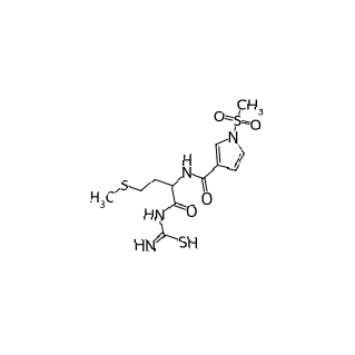 CSCCC(NC(=O)c1ccn(S(C)(=O)=O)c1)C(=O)NC(=N)S